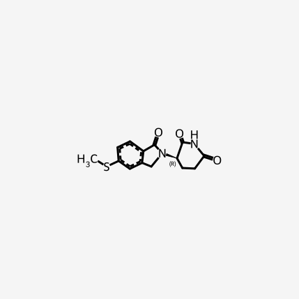 CSc1ccc2c(c1)CN([C@@H]1CCC(=O)NC1=O)C2=O